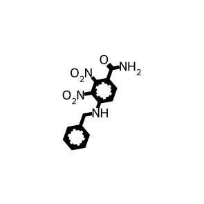 NC(=O)c1ccc(NCc2ccccc2)c([N+](=O)[O-])c1[N+](=O)[O-]